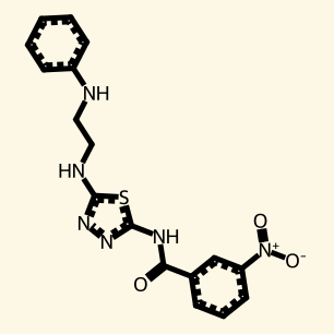 O=C(Nc1nnc(NCCNc2ccccc2)s1)c1cccc([N+](=O)[O-])c1